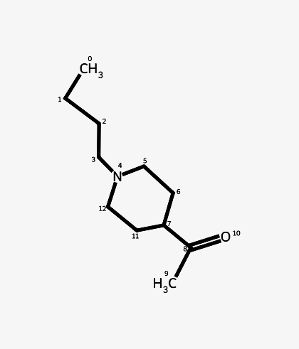 CCCCN1CCC(C(C)=O)CC1